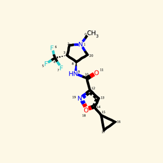 CN1C[C@@H](C(F)(F)F)[C@H](NC(=O)c2cc(C3CC3)on2)C1